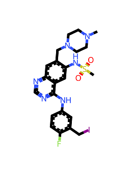 CN1CCN(Cc2cc3ncnc(Nc4ccc(F)c(CI)c4)c3cc2NS(C)(=O)=O)CC1